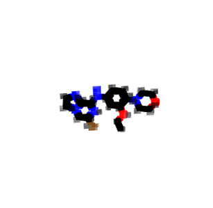 CCOc1cc(Nc2nc(Br)cn3ccnc23)ccc1N1CCOCC1